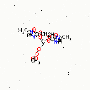 C=C1C[C@H]2C=Nc3cc(OCc4cc(CCCOCCOCC(=O)OC)cc(COc5cc6c(cc5OC)C(=O)N5CC(=C)C[C@H]5C=N6)c4)c(OC)cc3C(=O)N2C1